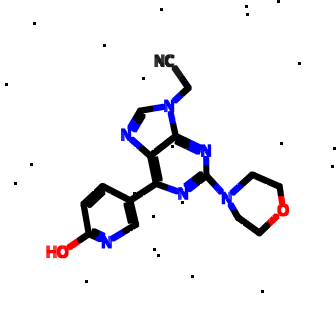 N#CCn1cnc2c(-c3ccc(O)nc3)nc(N3CCOCC3)nc21